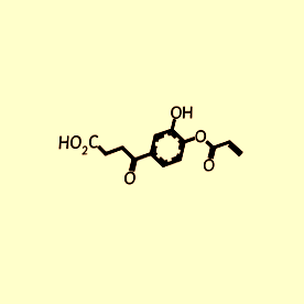 C=CC(=O)Oc1ccc(C(=O)CCC(=O)O)cc1O